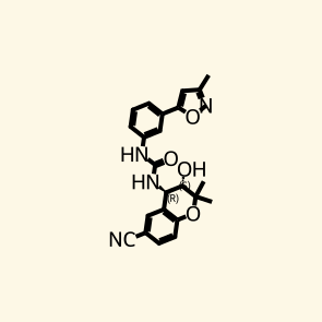 Cc1cc(-c2cccc(NC(=O)N[C@@H]3c4cc(C#N)ccc4OC(C)(C)[C@H]3O)c2)on1